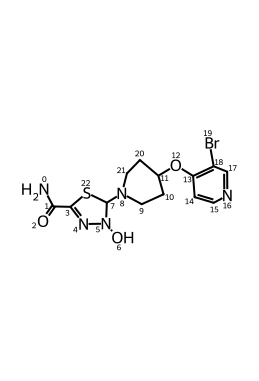 NC(=O)C1=NN(O)C(N2CCC(Oc3ccncc3Br)CC2)S1